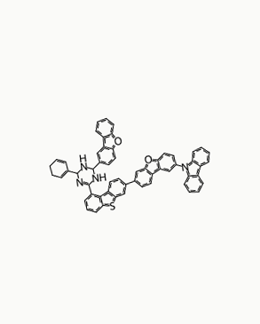 C1=CC(C2N=C(c3cccc4sc5cc(-c6ccc7c(c6)oc6ccc(-n8c9ccccc9c9ccccc98)cc67)ccc5c34)NC(c3ccc4oc5ccccc5c4c3)N2)=CCC1